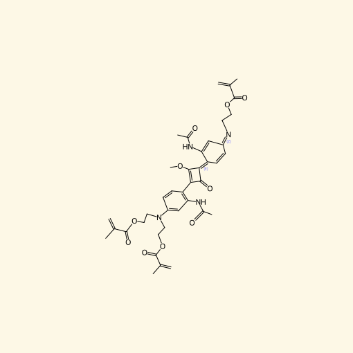 C=C(C)C(=O)OCC/N=C1C=C/C(=C2\C(=O)C(c3ccc(N(CCOC(=O)C(=C)C)CCOC(=O)C(=C)C)cc3NC(C)=O)=C2OC)C(NC(C)=O)=C/1